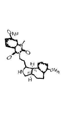 COc1ccc2c(=O)n(CCC3NC[C@@H]4CCc5c(OC)cccc5[C@H]34)c(=O)n(C)c2c1